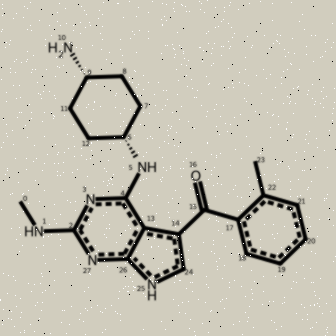 CNc1nc(N[C@H]2CC[C@@H](N)CC2)c2c(C(=O)c3ccccc3C)c[nH]c2n1